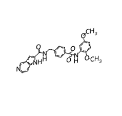 COc1ccc(OC)c(NS(=O)(=O)c2ccc(CNC(=O)c3cc4cnccc4[nH]3)cc2)c1